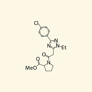 CCn1nc(-c2ccc(Cl)cc2)nc1CC(=O)N1CCCC1C(=O)OC